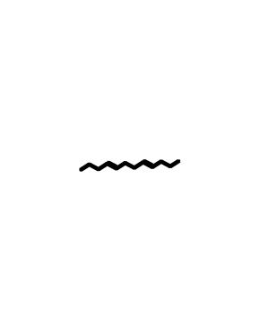 CCCC=CCCC=CCCC